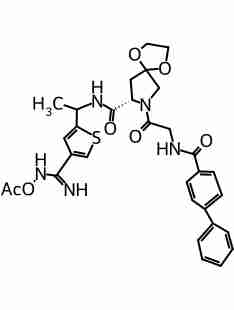 CC(=O)ONC(=N)c1csc(C(C)NC(=O)[C@@H]2CC3(CN2C(=O)CNC(=O)c2ccc(-c4ccccc4)cc2)OCCO3)c1